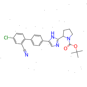 CC(C)(C)OC(=O)N1CCCC1c1ncc(-c2ccc(-c3ccc(Cl)cc3C#N)cc2)[nH]1